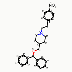 O=[N+]([O-])c1ccc(CCN2CCC(COC(c3ccccc3)c3ccccc3)CC2)cc1